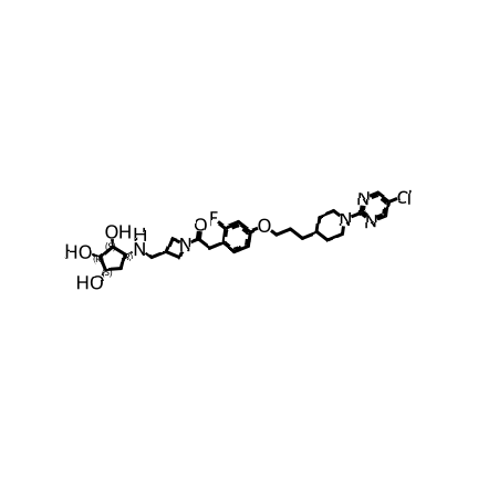 O=C(Cc1ccc(OCCCC2CCN(c3ncc(Cl)cn3)CC2)cc1F)N1CC(CN[C@@H]2C[C@H](O)[C@@H](O)[C@H]2O)C1